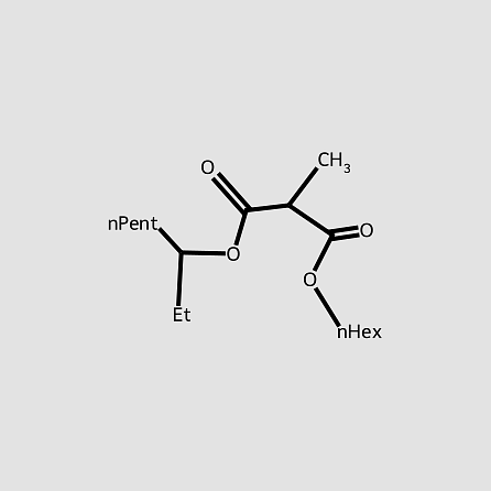 CCCCCCOC(=O)C(C)C(=O)OC(CC)CCCCC